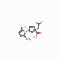 Cc1ccc(C)n1[C@H]1C=C[C@](CC(F)F)(C(=O)O)C1